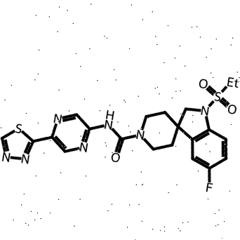 CCS(=O)(=O)N1CC2(CCN(C(=O)Nc3cnc(-c4nncs4)cn3)CC2)c2cc(F)ccc21